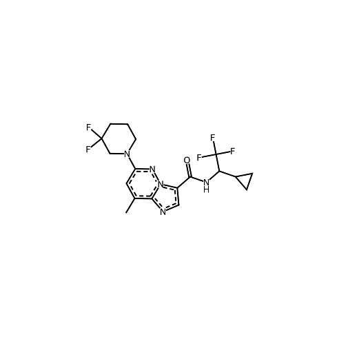 Cc1cc(N2CCCC(F)(F)C2)nn2c(C(=O)NC(C3CC3)C(F)(F)F)cnc12